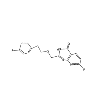 O=c1[nH]c(COCCc2ccc(F)cc2)nc2nc(F)ccc12